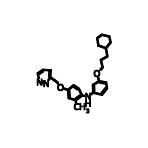 Cc1cc(OCc2cccnn2)ccc1Nc1cccc(OCCCC2CCCCC2)c1